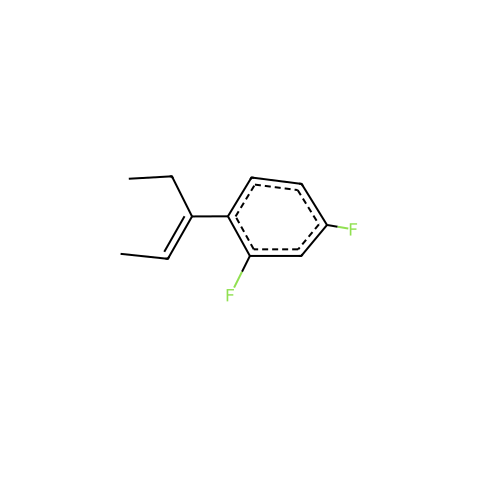 CC=C(CC)c1ccc(F)cc1F